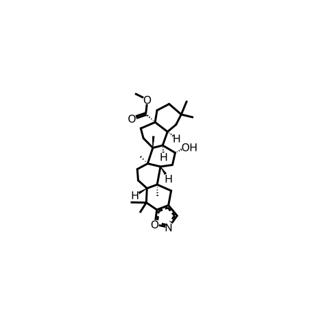 COC(=O)[C@]12CCC(C)(C)C[C@H]1[C@H]1[C@H](O)C[C@@H]3[C@@]4(C)Cc5cnoc5C(C)(C)[C@@H]4CC[C@@]3(C)[C@]1(C)CC2